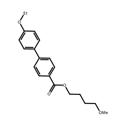 CCOc1ccc(-c2ccc(C(=O)OCCCCOC)cc2)cc1